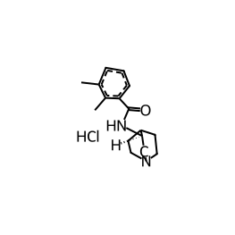 Cc1cccc(C(=O)N[C@@H]2CN3CCC2CC3)c1C.Cl